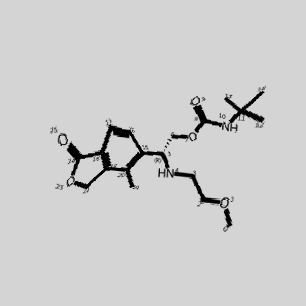 COCCN[C@@H](COC(=O)NC(C)(C)C)c1ccc2c(c1C)COC2=O